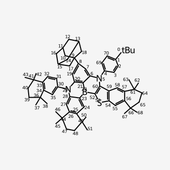 CC(C)(C)c1ccc(N2c3cc(C45CC6CC(CC(C6)C4)C5)cc4c3B(c3cc5c(cc3N4c3ccc4c(c3)C(C)(C)CCC4(C)C)C(C)(C)CCC5(C)C)c3sc4cc5c(cc4c32)C(C)(C)CCC5(C)C)cc1